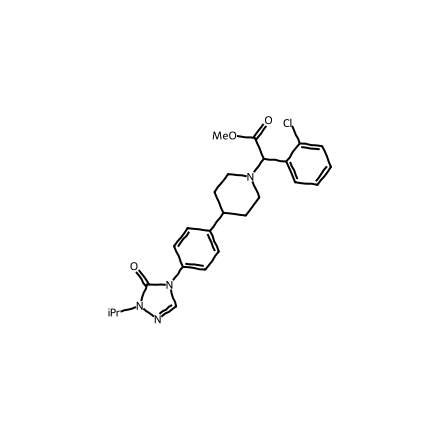 COC(=O)C(c1ccccc1Cl)N1CCC(c2ccc(-n3cnn(C(C)C)c3=O)cc2)CC1